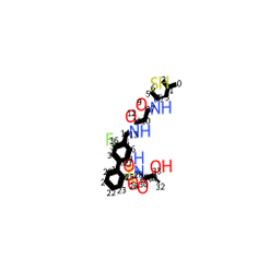 CC(C)C[C@H](CS)NC(=O)CC(=O)NCc1ccc(-c2ccccc2S(=O)(=O)NC(=O)[C@H](C)O)cc1F